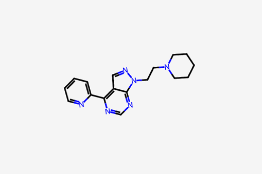 c1ccc(-c2ncnc3c2cnn3CCN2CCCCC2)nc1